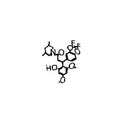 COc1cc(O)c(C(CC(=O)N2CC(C)CC(C)C2)c2ccc3c(c2)OC(F)(F)O3)c(OC)c1